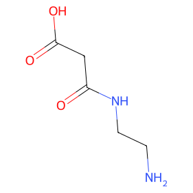 NCCNC(=O)CC(=O)O